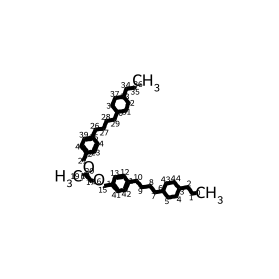 CCCC1CCC(CCCCc2ccc(COC[C@@H](C)OCc3ccc(CCCCC4CCC(CCC)CC4)cc3)cc2)CC1